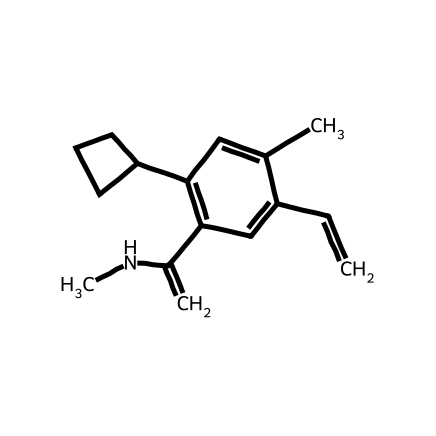 C=Cc1cc(C(=C)NC)c(C2CCC2)cc1C